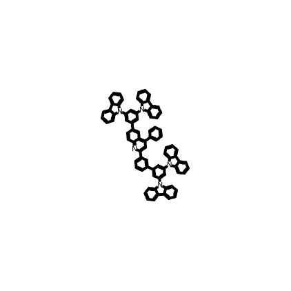 c1ccc(-c2cc(-c3cccc(-c4cc(-n5c6ccccc6c6ccccc65)cc(-n5c6ccccc6c6ccccc65)c4)c3)nc3ccc(-c4cc(-n5c6ccccc6c6ccccc65)cc(-n5c6ccccc6c6ccccc65)c4)cc23)cc1